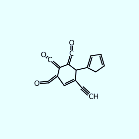 C#CC1=CC(=C=O)C(=C=O)C(=C=O)C1C1=CC=CC1